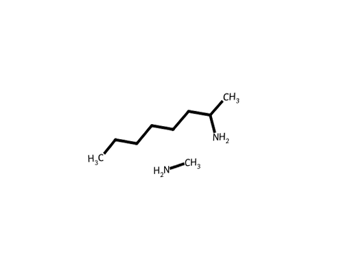 CCCCCCC(C)N.CN